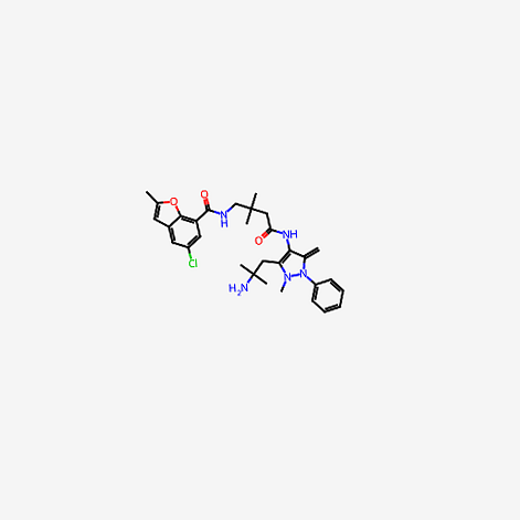 C=C1C(NC(=O)CC(C)(C)CNC(=O)c2cc(Cl)cc3cc(C)oc23)=C(CC(C)(C)N)N(C)N1c1ccccc1